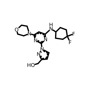 OCc1ccn(-c2nc(NC3CCC(F)(F)CC3)cc(N3CCOCC3)n2)n1